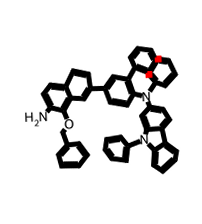 Nc1ccc2ccc(-c3ccc(N(c4ccccc4)c4ccc5c6ccccc6n(-c6ccccc6)c5c4)c(-c4ccccc4)c3)cc2c1OCc1ccccc1